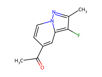 CC(=O)c1ccn2nc(C)c(F)c2c1